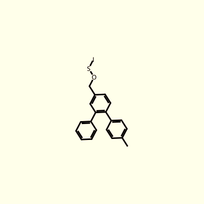 Cc1ccc(-c2ccc(COSI)cc2-c2ccccc2)cc1